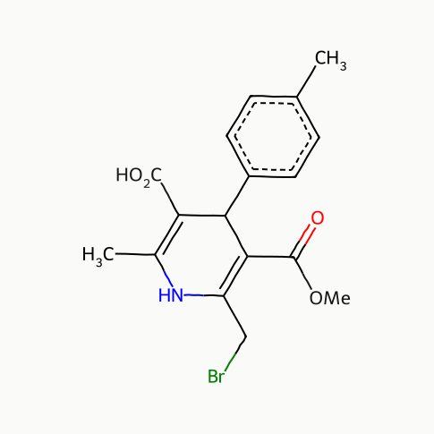 COC(=O)C1=C(CBr)NC(C)=C(C(=O)O)C1c1ccc(C)cc1